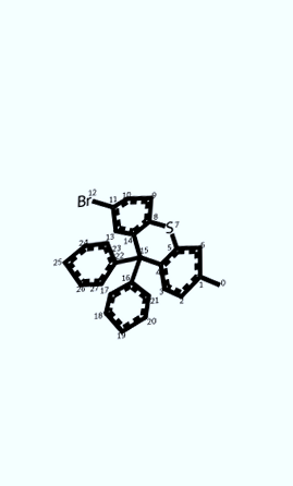 Cc1ccc2c(c1)Sc1ccc(Br)cc1C2(c1ccccc1)c1ccccc1